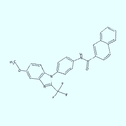 COc1ccc2c(c1)nc(C(F)(F)F)n2-c1ccc(NC(=O)c2ccc3ccccc3c2)cc1